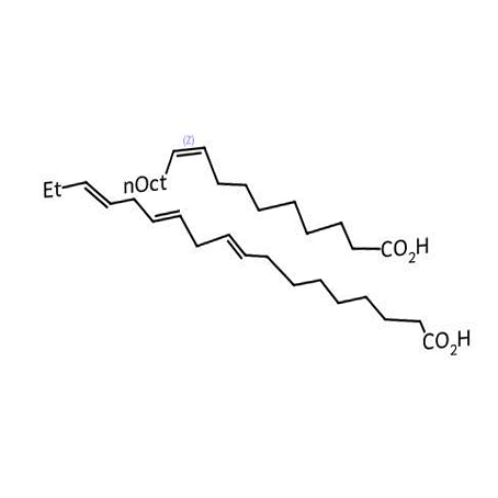 CCC=CCC=CCC=CCCCCCCCC(=O)O.CCCCCCCC/C=C\CCCCCCCC(=O)O